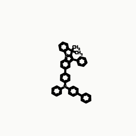 CC1(C)c2ccccc2-n2c1c(-c1ccccc1)c1cc(-c3ccc(N(c4ccccc4)c4ccc(-c5ccccc5)cc4)cc3)ccc12